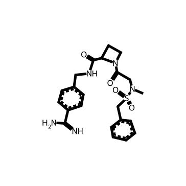 CN(CC(=O)N1CCC1C(=O)NCc1ccc(C(=N)N)cc1)S(=O)(=O)Cc1ccccc1